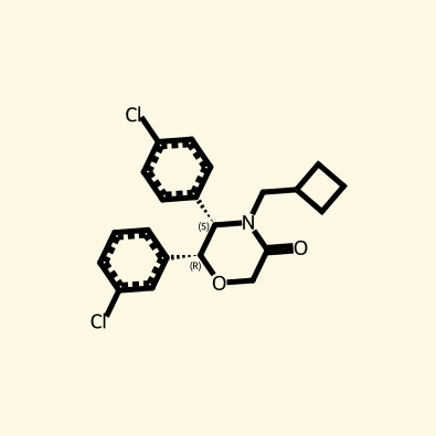 O=C1CO[C@H](c2cccc(Cl)c2)[C@H](c2ccc(Cl)cc2)N1CC1CCC1